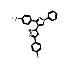 Cc1ccc(-c2nn(-c3ccccc3)cc2C2CC(c3ccc(Br)cc3)=NN2)cc1